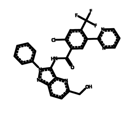 O=C(Nc1c2nc(CO)ccc2nn1-c1ccccc1)c1cc(-c2ncccn2)c(C(F)(F)F)cc1Cl